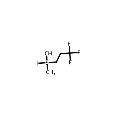 CS(C)(I)CCC(F)(F)F